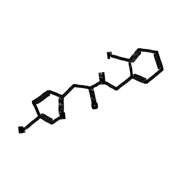 O=C(Cc1ccc(Br)cn1)NCc1ccccc1F